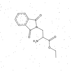 CCOC(=O)C(N)CN1C(=O)c2ccccc2C1=O